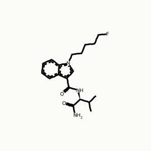 CC(C)[C@H](NC(=O)c1cn(CCCCCF)c2ccccc12)C(N)=O